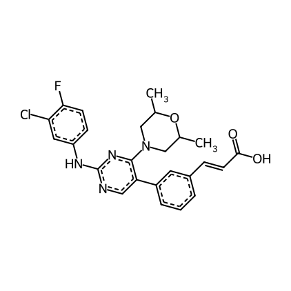 CC1CN(c2nc(Nc3ccc(F)c(Cl)c3)ncc2-c2cccc(/C=C/C(=O)O)c2)CC(C)O1